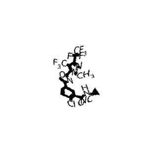 Cn1nc(C(F)(F)C(F)(F)F)c(C(F)(F)F)c1-c1nc(-c2ccc(Cl)c(C(=O)NC3(C#N)CC3)c2)co1